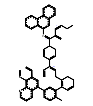 C=C/C(=C\CC1=C(c2cc(-c3cc(C=C)c(N=C)c4ncccc34)ccc2C)C=CCC1)C1=CCC(/C(=N/c2cc3ccccc3c3ccccc23)C(=C)/C=C\CC)C=C1